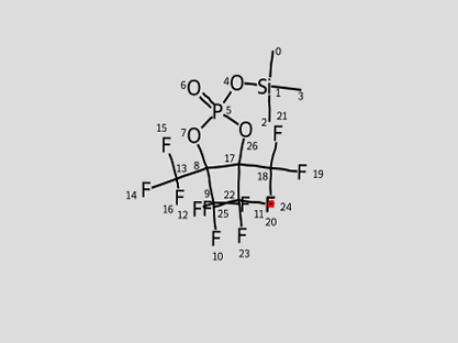 C[Si](C)(C)OP1(=O)OC(C(F)(F)F)(C(F)(F)F)C(C(F)(F)F)(C(F)(F)F)O1